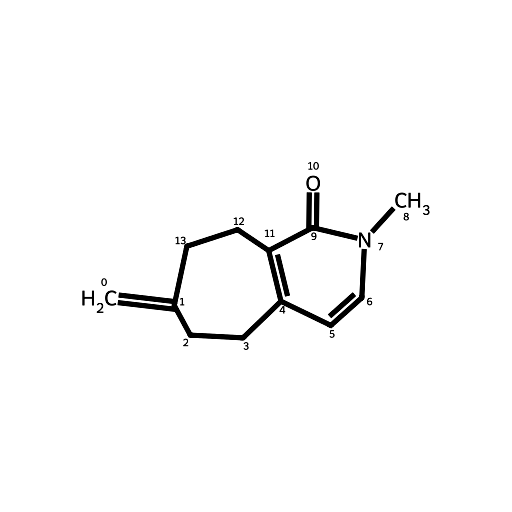 C=C1CCc2ccn(C)c(=O)c2CC1